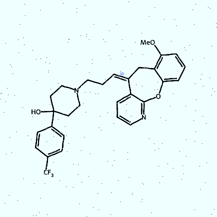 COc1cccc2c1C/C(=C/CCN1CCC(O)(c3ccc(C(F)(F)F)cc3)CC1)c1cccnc1O2